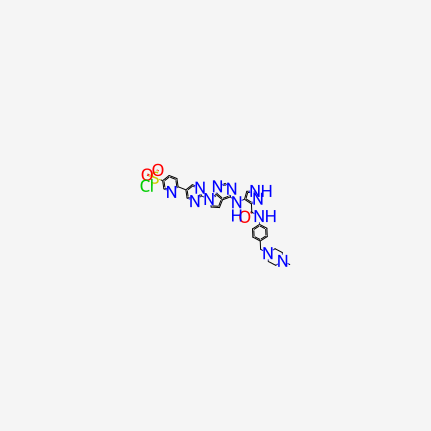 CN1CCN(Cc2ccc(NC(=O)c3n[nH]cc3Nc3ncnc4c3ccn4-c3ncc(-c4ccc(S(=O)(=O)Cl)cn4)cn3)cc2)CC1